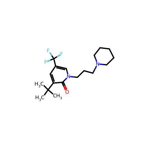 CC(C)(C)c1cc(C(F)(F)F)cn(CCCN2CCCCC2)c1=O